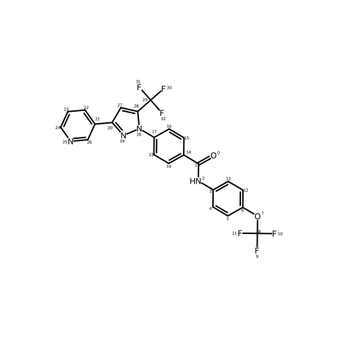 O=C(Nc1ccc(OC(F)(F)F)cc1)c1ccc(-n2nc(-c3cccnc3)cc2C(F)(F)F)cc1